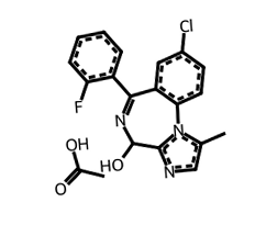 CC(=O)O.Cc1cnc2n1-c1ccc(Cl)cc1C(c1ccccc1F)=NC2O